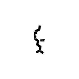 Br.CCN=C=NCCCN(C)C